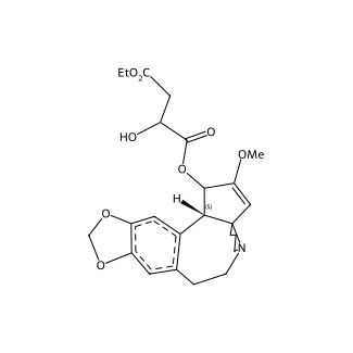 CCOC(=O)CC(O)C(=O)OC1C(OC)=CC23CCCN2CCc2cc4c(cc2[C@H]13)OCO4